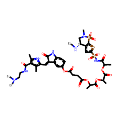 CCN[C@@H]1CN(C)S(=O)(=O)c2sc(S(=O)(=O)NC(=O)C(C)OC(=O)C(C)OC(=O)C(C)OC(=O)CCC(=O)Oc3ccc4c(c3)/C(=C/c3[nH]c(C)c(C(=O)NCCN(CC)CC)c3C)C(=O)N4)cc21